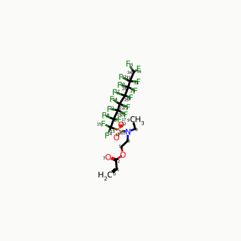 C=CC(=O)OCCN(CC)S(=O)(=O)C(F)(F)C(F)(F)C(F)(F)C(F)(F)C(F)(F)C(F)(F)C(F)(F)C(F)F